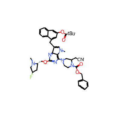 CN1C[C@H](F)C[C@H]1COc1nc(N2CCN(C(=O)OCc3ccccc3)C(CC#N)C2)c2c(n1)c(Cc1cc(OC(=O)C(C)(C)C)cc3ccccc13)cn2C